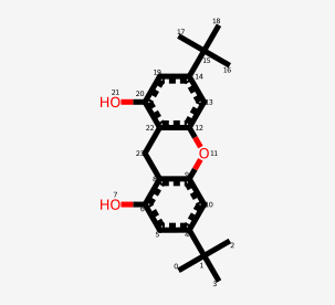 CC(C)(C)c1cc(O)c2c(c1)Oc1cc(C(C)(C)C)cc(O)c1C2